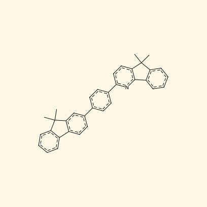 CC1(C)c2ccccc2-c2ccc(-c3ccc(-c4ccc5c(n4)-c4ccccc4C5(C)C)cc3)cc21